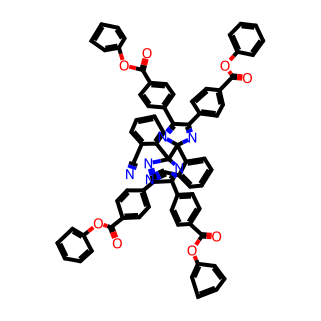 N#Cc1ccccc1C1(C2(c3ccccc3C#N)N=C(c3ccc(C(=O)Oc4ccccc4)cc3)C(c3ccc(C(=O)Oc4ccccc4)cc3)=N2)N=C(c2ccc(C(=O)Oc3ccccc3)cc2)C(c2ccc(C(=O)Oc3ccccc3)cc2)=N1